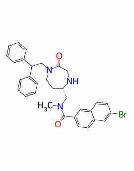 CN(C[C@@H]1CCN(CC(c2ccccc2)c2ccccc2)C(=O)CN1)C(=O)c1ccc2cc(Br)ccc2c1